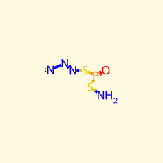 [N]N=NS[P](=O)SN